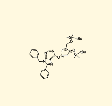 CC(C)(C)[Si](C)(C)OC[C@@H]1C[C@@H](Oc2ncnc3c2nc(-c2ccccc2)n3Cc2ccccc2)C[C@@H]1O[Si](C)(C)C(C)(C)C